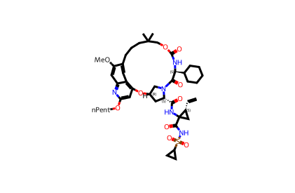 C=C[C@@H]1CC1(NC(=O)[C@@H]1C[C@@H]2CN1C(=O)[C@H](C1CCCCC1)NC(=O)OCC(C)(C)CCCc1cc3c(cc(OCCCCC)nc3cc1OC)O2)C(=O)NS(=O)(=O)C1CC1